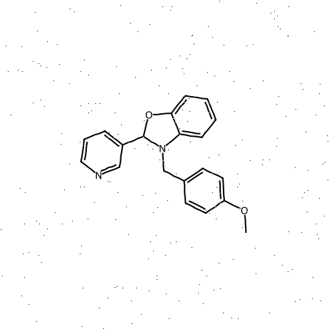 COc1ccc(CN2c3ccccc3OC2c2cccnc2)cc1